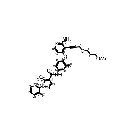 COCCCOCC#Cc1c(Oc2ccc(NC(=O)c3cnn(-c4ncccc4F)c3C(F)(F)F)cc2F)ccnc1N